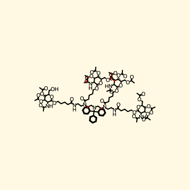 CC(=O)NC1C(OC(C)=O)[C@@H](OC(C)=O)C(CO)O[C@H]1OCCCCC(=O)NCCN(CCN(CCN(CCNC(=O)CCCCO[C@@H]1OC(COC(C)=O)[C@H](OC(C)=O)C(OC(C)=O)C1NC(C)=O)C(=O)CCCCO[C@@H]1OC(COC(C)=O)[C@H](OC(C)=O)C(OC(C)=O)C1NC(C)=O)C(c1ccccc1)(c1ccccc1)c1ccccc1)C(=O)CCCCO[C@@H]1OC(COC(C)=O)[C@H](OC(C)=O)C(OC(C)=O)C1NC(C)=O